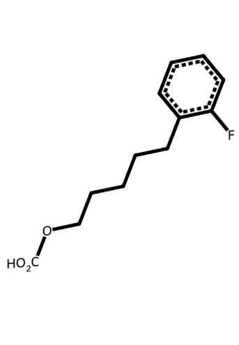 O=C(O)OCCCCCc1ccccc1F